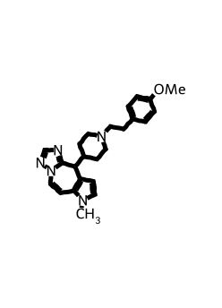 COc1ccc(CCN2CCC(C3c4ccn(C)c4C=Cn4ncnc43)CC2)cc1